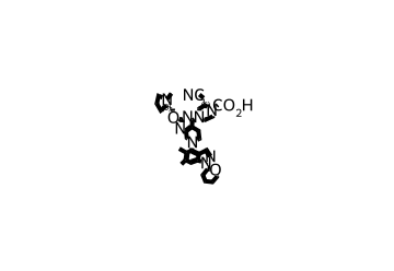 Cc1cc2c(cnn2C2CCCCO2)c(N2CCc3c(nc(OC[C@@H]4CCCN4C)nc3N3CCN(C(=O)O)[C@@H](CC#N)C3)C2)c1C